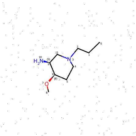 CCCN1CC[C@@H](OC)[C@@H](N)C1